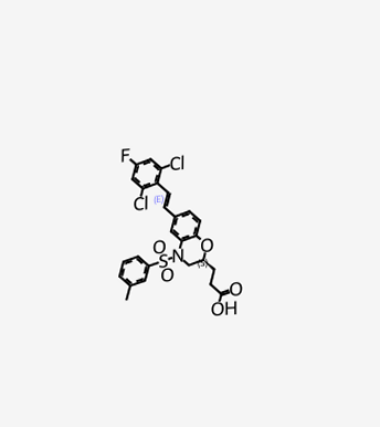 Cc1cccc(S(=O)(=O)N2C[C@H](CCC(=O)O)Oc3ccc(/C=C/c4c(Cl)cc(F)cc4Cl)cc32)c1